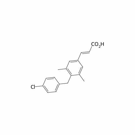 Cc1cc(C=CC(=O)O)cc(C)c1Cc1ccc(Cl)cc1